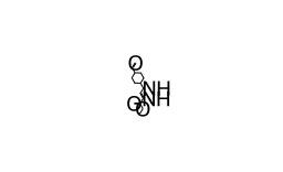 CN/C(=C\C(=N)C1CCC(C=O)CC1)C(=O)OC